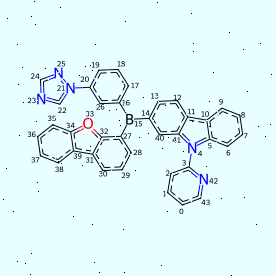 c1ccc(-n2c3ccccc3c3ccc(B(c4cccc(-n5cncn5)c4)c4cccc5c4oc4ccccc45)cc32)nc1